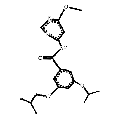 COc1cc(NC(=O)c2cc(OCC(C)C)cc(OC(C)C)c2)ncn1